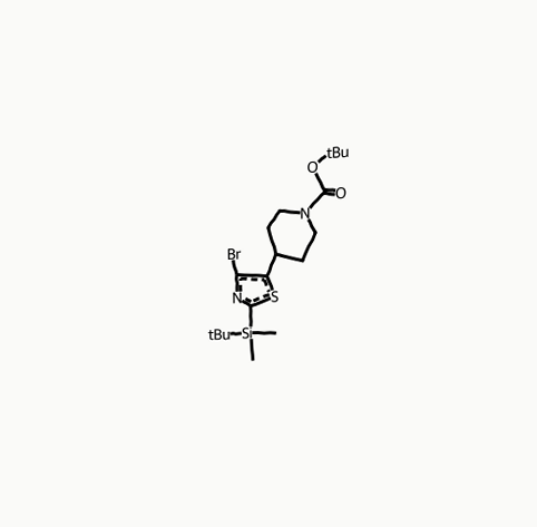 CC(C)(C)OC(=O)N1CCC(c2sc([Si](C)(C)C(C)(C)C)nc2Br)CC1